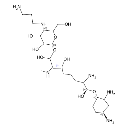 CN/C(=C(/O)CCCC(N)[C@H](O)O[C@H]1CC[C@H](N)CC1N)C(O)O[C@H]1OC(CO)[C@@H](NCCCN)C(O)C1O